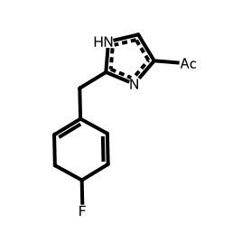 CC(=O)c1c[nH]c(CC2=CCC(F)C=C2)n1